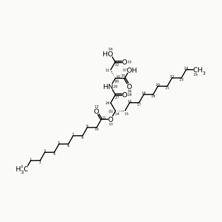 CCCCCCCCCCCC(=O)O[C@@H](CCCCCCCCCCC)CC(=O)N[C@H](CC(=O)O)C(=O)O